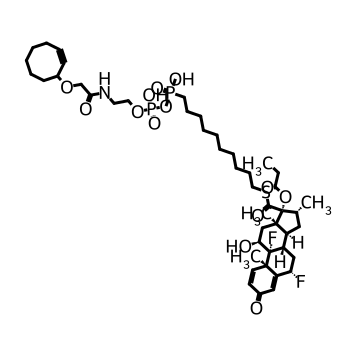 CCC(=O)O[C@]1(C(=O)SCCCCCCCCCCP(=O)(O)OP(=O)(O)OCCNC(=O)COC2C#CCCCCC2)[C@H](C)C[C@H]2[C@@H]3C[C@H](F)C4=CC(=O)C=C[C@]4(C)[C@@]3(F)[C@@H](O)C[C@@]21C